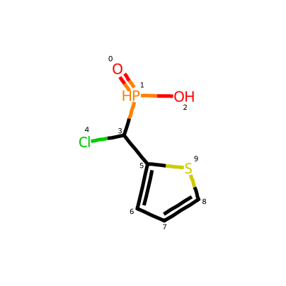 O=[PH](O)C(Cl)c1cccs1